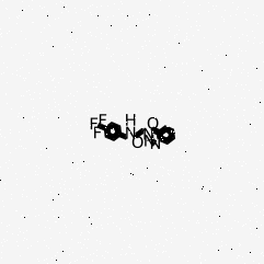 O=C(Cn1nnc2ccccc2c1=O)NCc1ccc(C(F)(F)F)cc1